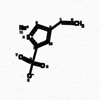 C=Cc1csc(S(=O)(=O)[O-])c1.[Na+]